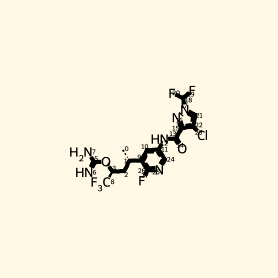 C[C@@H](C[C@H](OC(=N)N)C(F)(F)F)c1cc(NC(=O)c2nn(C(F)F)cc2Cl)cnc1F